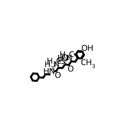 Cc1cc(O)cc(C)c1C[C@@H](N)C(=O)C(CC(N)C(=O)NCCCC1CCCCC1)[S+](C)[O-]